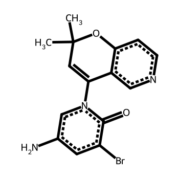 CC1(C)C=C(n2cc(N)cc(Br)c2=O)c2cnccc2O1